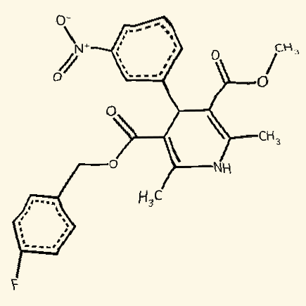 COC(=O)C1=C(C)NC(C)=C(C(=O)OCc2ccc(F)cc2)C1c1cccc([N+](=O)[O-])c1